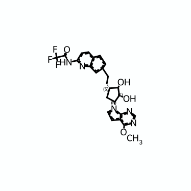 COc1ncnc2c1ccn2[C@@H]1C[C@H](CCc2ccc3ccc(NC(=O)C(F)(F)F)nc3c2)C(O)[C@H]1O